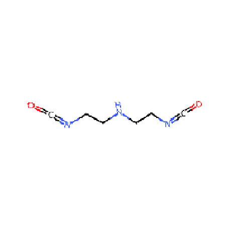 O=C=NCCNCCN=C=O